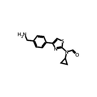 NCc1ccc(-c2csc(N(C=O)C3CC3)n2)cc1